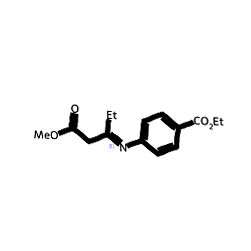 CCOC(=O)c1ccc(/N=C(\CC)CC(=O)OC)cc1